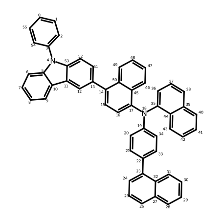 c1ccc(-n2c3ccccc3c3cc(-c4ccc(N(c5ccc(-c6cccc7ccccc67)cc5)c5cccc6ccccc56)c5ccccc45)ccc32)cc1